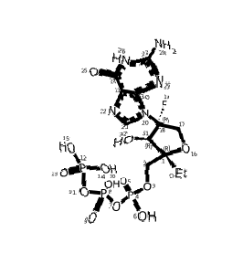 CC[C@]1(COP(=O)(O)OP(=O)(O)OP(=O)(O)O)OC[C@](F)(n2cnc3c(=O)[nH]c(N)nc32)[C@@H]1O